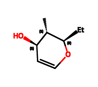 CC[C@H]1OC=C[C@@H](O)[C@@H]1C